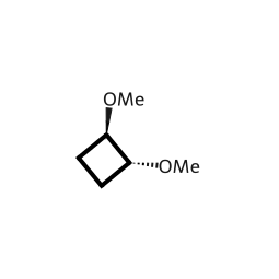 CO[C@@H]1CC[C@H]1OC